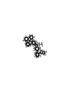 c1ccc(C2(c3ccccc3)c3ccccc3-c3cc(Nc4ccc(-c5ccccc5C5CC6CCC65)cc4)ccc32)cc1